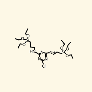 CCO[Si](CCCNc1nc(Cl)nc(NCCC[Si](OCC)(OCC)OCC)n1)(OCC)OCC